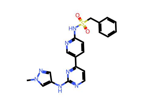 Cn1cc(Nc2nccc(-c3ccc(NS(=O)(=O)Cc4ccccc4)nc3)n2)cn1